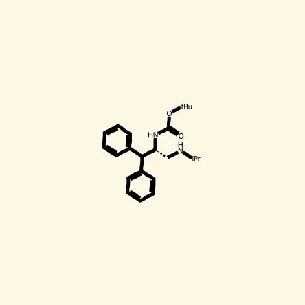 CC(C)NC[C@@H](NC(=O)OC(C)(C)C)C(c1ccccc1)c1ccccc1